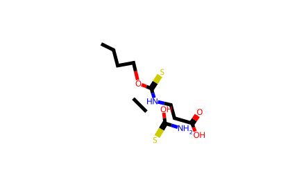 CC.CCCCOC(=S)NCCC(=O)O.NC(O)=S